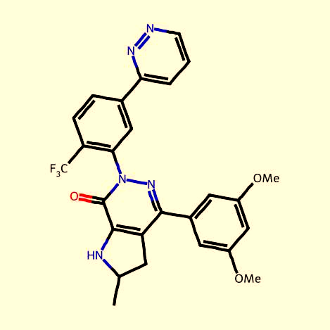 COc1cc(OC)cc(-c2nn(-c3cc(-c4cccnn4)ccc3C(F)(F)F)c(=O)c3c2CC(C)N3)c1